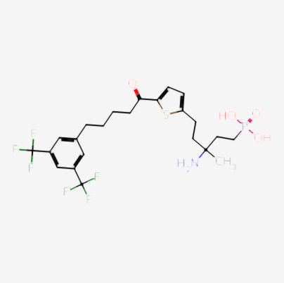 CC(N)(CCc1ccc(C(=O)CCCCc2cc(C(F)(F)F)cc(C(F)(F)F)c2)s1)CCP(=O)(O)O